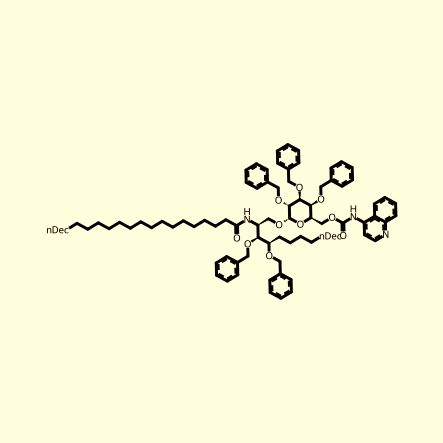 CCCCCCCCCCCCCCCCCCCCCCCCCC(=O)N[C@@H](CO[C@H]1O[C@H](COC(=O)Nc2ccnc3ccccc23)[C@H](OCc2ccccc2)[C@H](OCc2ccccc2)[C@H]1OCc1ccccc1)[C@H](OCc1ccccc1)[C@@H](CCCCCCCCCCCCCC)OCc1ccccc1